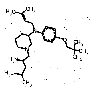 CC(C)=CCN(c1ccc(OCC(C)(C)C)cc1)C1CCCN(CC(N)CC(C)C)C1